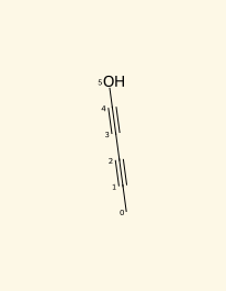 CC#CC#CO